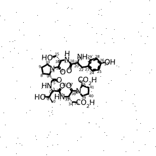 C[C@@H](O)[C@H](NC(=O)[C@@H]1CCCN1C(=O)[C@H](CO)NC(=O)[C@@H](N)Cc1ccc(O)cc1)C(=O)N[C@@H](CC(=O)O)C(=O)N1CCC[C@H]1C(=O)O